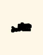 C=CCOC(=O)Cc1ccc(COc2ccc(-c3c(OC)cc(-c4ccc(OS(C)(=O)=O)cc4)c(OC)c3OS(C)(=O)=O)cc2OS(C)(=O)=O)cc1